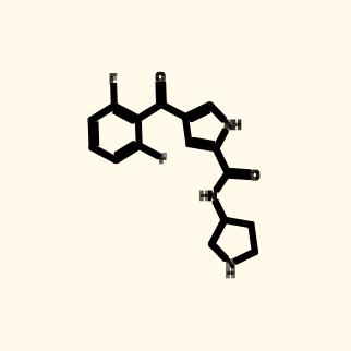 O=C(NC1CCNC1)c1cc(C(=O)c2c(F)cccc2F)c[nH]1